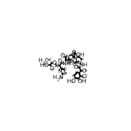 CC[C@H](O/N=C(\C(=O)N[C@@H]1C(=O)N2C[C@@](C(=O)O)(N3CCN(NC(=O)C(=O)c4ccc(O)c(O)c4Cl)C3=O)S[C@H]12)c1csc(N)n1)C(=O)O